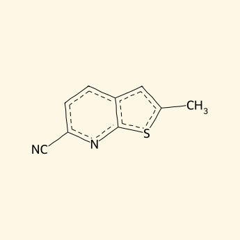 Cc1cc2ccc(C#N)nc2s1